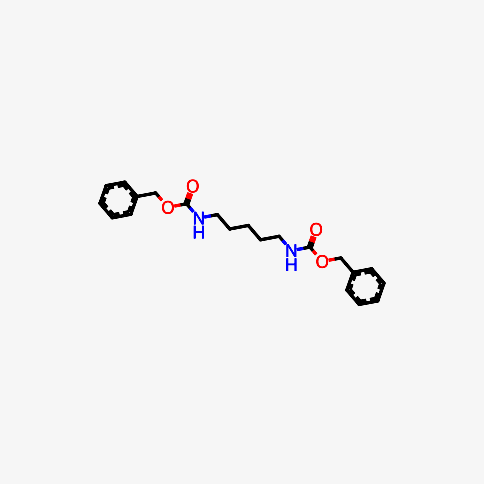 O=C(NCCCCCNC(=O)OCc1ccccc1)OCc1ccccc1